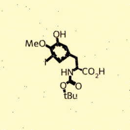 COc1c(O)cc(C[C@H](NC(=O)OC(C)(C)C)C(=O)O)cc1I